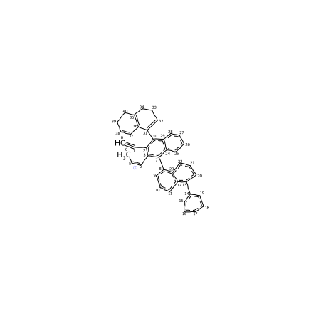 C#Cc1c(/C=C\C)c(-c2cccc3c(-c4ccccc4)cccc23)c2ccccc2c1C1=CCCC2=C1C=CCC2